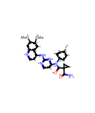 COc1cc2nccc(Nc3nccc(N(C(=O)C4(C(N)=O)CC4)c4ccc(F)cc4)n3)c2cc1OC